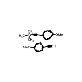 C#Cc1ccc(OC)cc1.COc1ccc(C#C[Si](C)(C)C)cc1